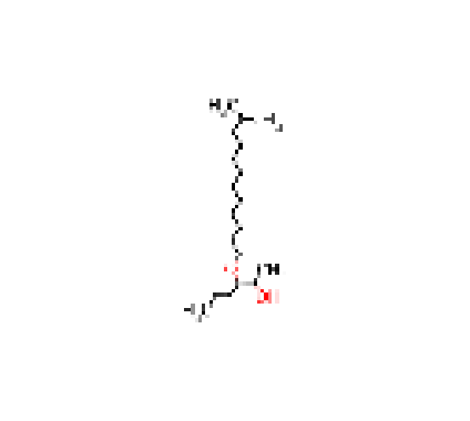 CCCC(OCCCCCCCCCCC(C)C)C(C)O